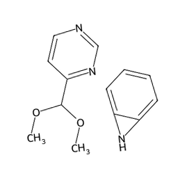 COC(OC)c1ccncn1.c1ccc2c(c1)N2